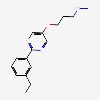 CCc1cccc(-c2ncc(OCCCNC)cn2)c1